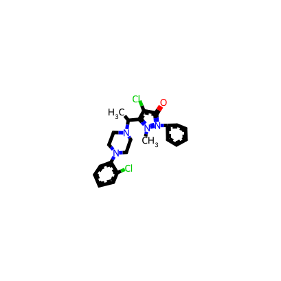 CC(c1c(Cl)c(=O)n(-c2ccccc2)n1C)N1CCN(c2ccccc2Cl)CC1